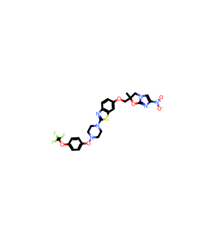 CC1(COc2ccc3nc(N4CCN(Oc5ccc(OC(F)(F)F)cc5)CC4)sc3c2)Cn2cc([N+](=O)[O-])nc2O1